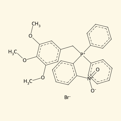 COc1cc(C[P+](c2ccccc2)(c2ccccc2)c2ccccc2[N+](=O)[O-])cc(OC)c1OC.[Br-]